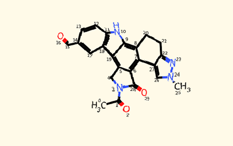 CC(=O)N1Cc2c(c3c(c4[nH]c5ccc(C=O)cc5c24)CCc2nn(C)cc2-3)C1=O